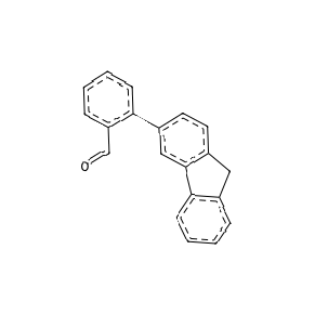 O=Cc1ccccc1-c1ccc2c(c1)-c1ccccc1C2